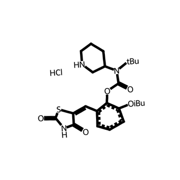 CC(C)COc1cccc(C=C2SC(=O)NC2=O)c1OC(=O)N(C1CCCNC1)C(C)(C)C.Cl